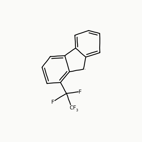 FC(F)(F)C(F)(F)c1cccc2c1[CH]c1ccccc1-2